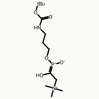 CC(C)(C)OC(=O)NCCCO/[P+]([O-])=C(\O)C[N+](C)(C)C